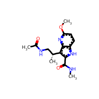 CNC(=O)c1[nH]c2ccc(OC)nc2c1[C@H](C)CNC(C)=O